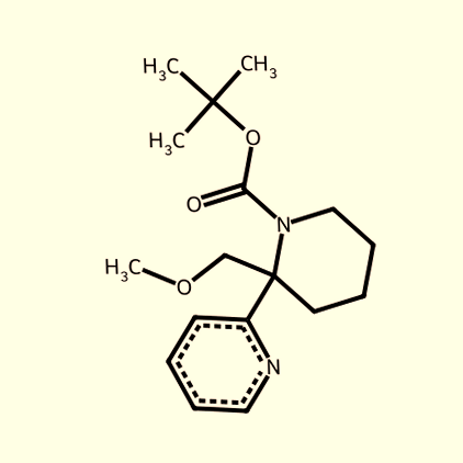 COCC1(c2ccccn2)CCCCN1C(=O)OC(C)(C)C